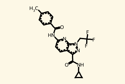 Cc1ccc(C(=O)Nc2ccc3c(C(=O)NC4CC4)nn(CC(F)(F)F)c3n2)cc1